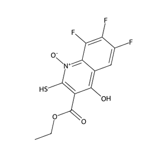 CCOC(=O)c1c(O)c2cc(F)c(F)c(F)c2[n+]([O-])c1S